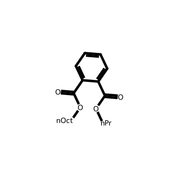 CCCCCCCCOC(=O)c1ccccc1C(=O)OCCC